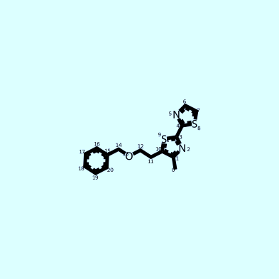 Cc1nc(-c2nccs2)sc1CCOCc1ccccc1